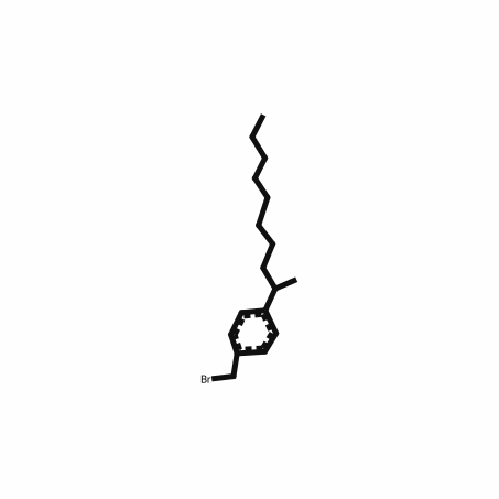 CCCCCCCCC(C)c1ccc(CBr)cc1